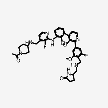 COc1cc(-c2nccc(-c3cccc(Nc4nccc(CNC5CCN(C(C)=O)CC5)c4F)c3Cl)c2Cl)cc(F)c1CNCC1CCC(=O)N1